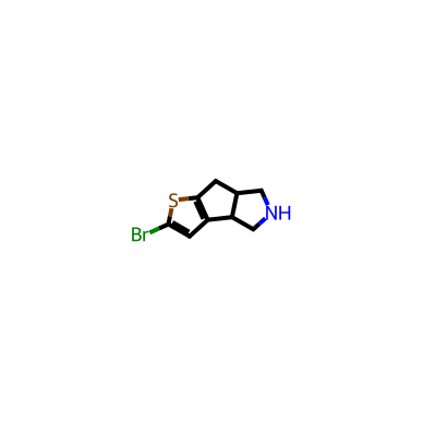 Brc1cc2c(s1)CC1CNCC21